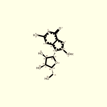 CCCCCCCCCCn1nc2c(=O)nc(N)nc-2n1[C@@H]1O[C@H](CO)[C@@H](O)[C@H]1O